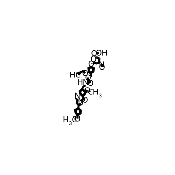 C#CCOc1cc(O[C@H]2C[C@@H](N=O)C[C@@H](C(=O)O)O2)ccc1COC(=O)NCCc1cc2c(cc1OC)C(=O)N1C=C(c3ccc(OC)cc3)CC1C=N2